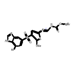 CSc1sc(/N=C/NC(=O)OC(C)(C)C)cc1S(=O)(=O)c1cc(Br)c2[nH]cnc2c1